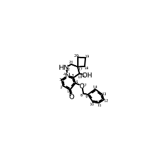 O=c1ccn2c(c1OCc1ccccc1)C(O)C1(CCC1)CN2